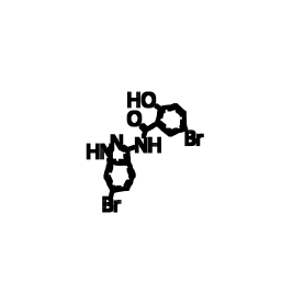 O=C(Nc1n[nH]c2cc(Br)ccc12)c1cc(Br)ccc1O